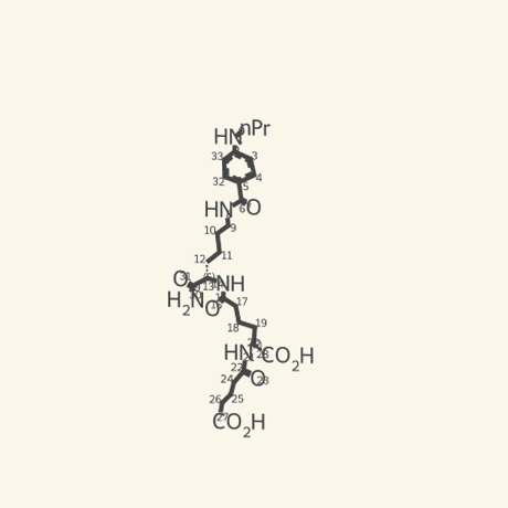 CCCNc1ccc(C(=O)NCCCC[C@H](NC(=O)CCC[C@H](NC(=O)CCCC(=O)O)C(=O)O)C(N)=O)cc1